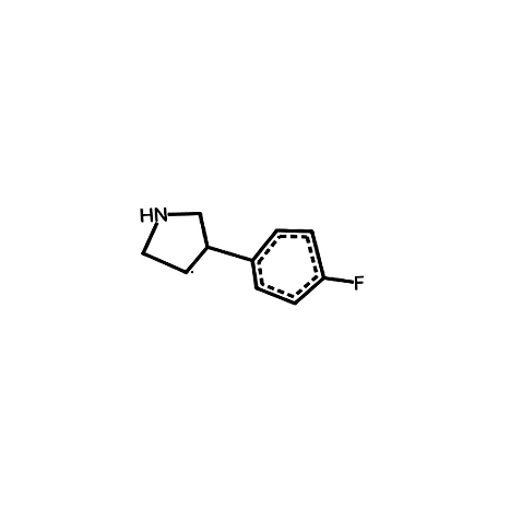 Fc1ccc(C2[CH]CNC2)cc1